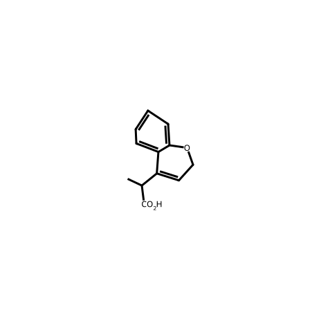 CC(C(=O)O)C1=CCOc2ccccc21